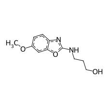 COc1ccc2nc(NCCCO)oc2c1